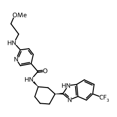 COCCNc1ccc(C(=O)N[C@@H]2CCC[C@H](c3nc4cc(C(F)(F)F)ccc4[nH]3)C2)cn1